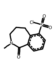 CN1CCCc2c(cccc2S(=O)(=O)Cl)C1=O